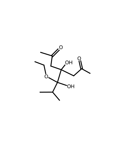 CCOC(O)(C(C)C)C(O)(CC(C)=O)CC(C)=O